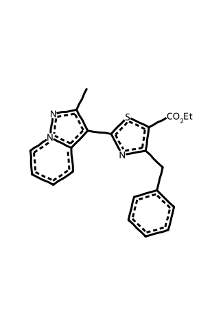 CCOC(=O)c1sc(-c2c(C)nn3ccccc23)nc1Cc1ccccc1